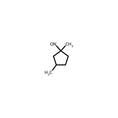 CC1CCC(C)(N=O)C1